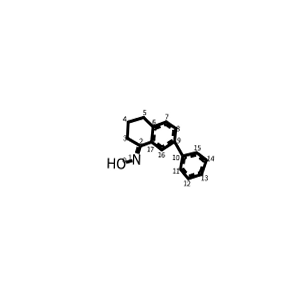 ON=C1CCCc2ccc(-c3ccccc3)cc21